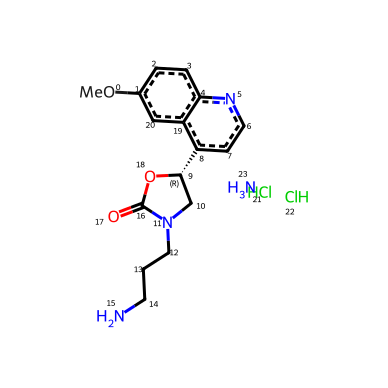 COc1ccc2nccc([C@@H]3CN(CCCN)C(=O)O3)c2c1.Cl.Cl.N